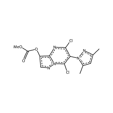 COC(=O)Oc1cnn2c(Cl)c(-n3nc(C)cc3C)c(Cl)nc12